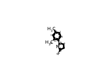 Cc1ccc(N2CCC(F)=N2)c(C)c1